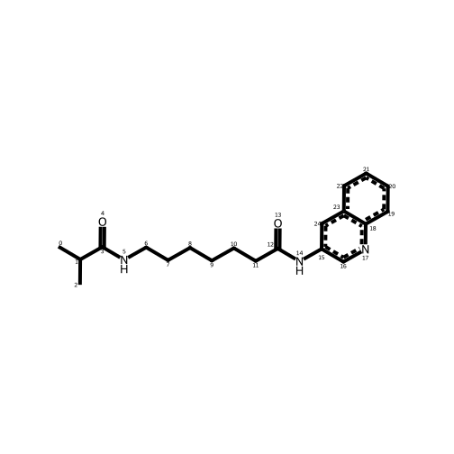 CC(C)C(=O)NCCCCCCC(=O)Nc1cnc2ccccc2c1